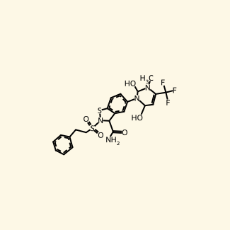 CN1C(C(F)(F)F)=CC(O)N(c2ccc3c(c2)C(C(N)=O)N(S(=O)(=O)CCc2ccccc2)S3)C1O